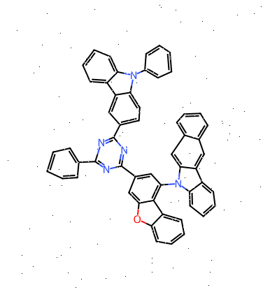 c1ccc(-c2nc(-c3cc(-n4c5ccccc5c5cc6ccccc6cc54)c4c(c3)oc3ccccc34)nc(-c3ccc4c(c3)c3ccccc3n4-c3ccccc3)n2)cc1